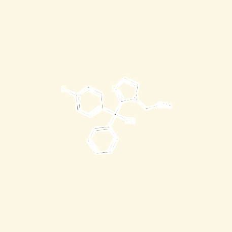 COCn1ccnc1C(O)(c1ccccc1)c1ccc(F)cc1